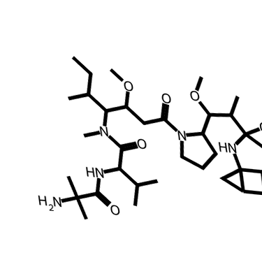 CCC(C)C(C(CC(=O)N1CCCC1C(OC)C(C)C1(NC23CCC2C3)CO1)OC)N(C)C(=O)C(NC(=O)C(C)(C)N)C(C)C